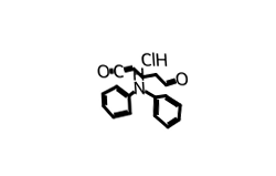 Cl.O=C=CCCC=O.c1ccc(Nc2ccccc2)cc1